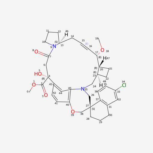 COC(=O)[C@@]1(O)CC(=O)N2CCC[C@H]2C/C=C/[C@H](OC)[C@@H]2CC[C@H]2CN2C[C@@]3(CCCc4cc(Cl)ccc43)COc3ccc1cc32